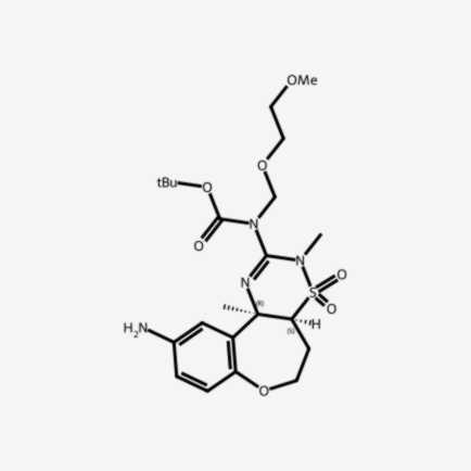 COCCOCN(C(=O)OC(C)(C)C)C1=N[C@]2(C)c3cc(N)ccc3OCC[C@@H]2S(=O)(=O)N1C